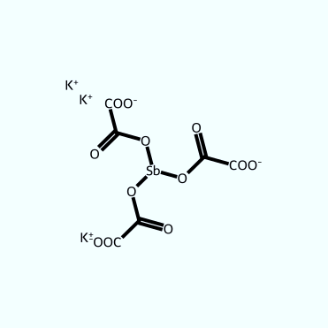 O=C([O-])C(=O)[O][Sb]([O]C(=O)C(=O)[O-])[O]C(=O)C(=O)[O-].[K+].[K+].[K+]